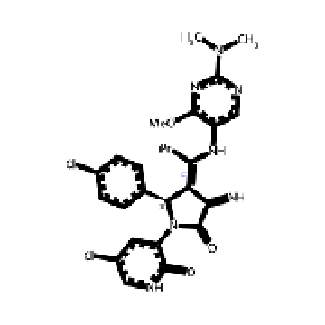 COc1nc(N(C)C)ncc1N/C(=C1\C(=N)C(=O)N(c2cc(Cl)c[nH]c2=O)[C@H]1c1ccc(Cl)cc1)C(C)C